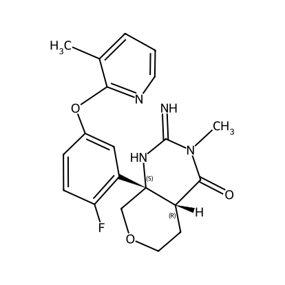 Cc1cccnc1Oc1ccc(F)c([C@]23COCC[C@H]2C(=O)N(C)C(=N)N3)c1